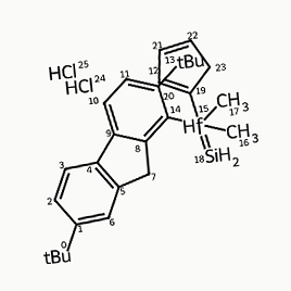 CC(C)(C)c1ccc2c(c1)Cc1c-2ccc(C(C)(C)C)[c]1[Hf]([CH3])([CH3])(=[SiH2])[C]1=CC=CC1.Cl.Cl